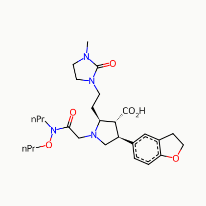 CCCON(CCC)C(=O)CN1C[C@H](c2ccc3c(c2)CCO3)[C@@H](C(=O)O)[C@@H]1CCN1CCN(C)C1=O